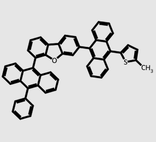 Cc1ccc(-c2c3ccccc3c(-c3ccc4c(c3)oc3c(-c5c6ccccc6c(-c6ccccc6)c6ccccc56)cccc34)c3ccccc23)s1